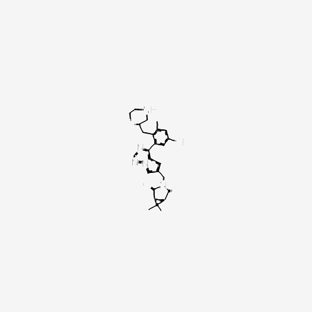 Cc1cc(Cl)cc(-c2ncnn3cc(CN4C(=O)C5C(C4=O)C5(C)C)cc23)c1CC1CN[C@@H](C)CO1